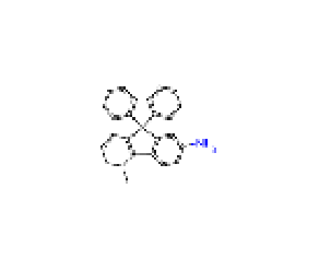 CC1CC=CC2=C1c1ccc(N)cc1C2(c1ccccc1)c1ccccc1